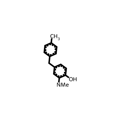 CNc1cc(Cc2ccc(C)cc2)ccc1O